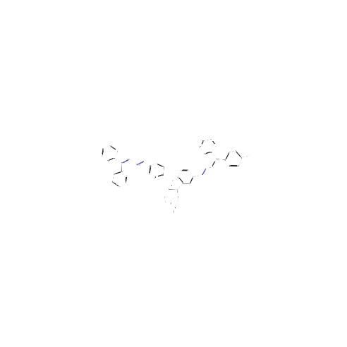 Cc1ccc(C(=C/C=C/c2ccc3c(c2)C2CN(C)CCC2N3c2ccc(/C=C/C=C(\c3ccccc3)c3ccc(C)cc3)cc2)c2ccc(C)cc2)cc1